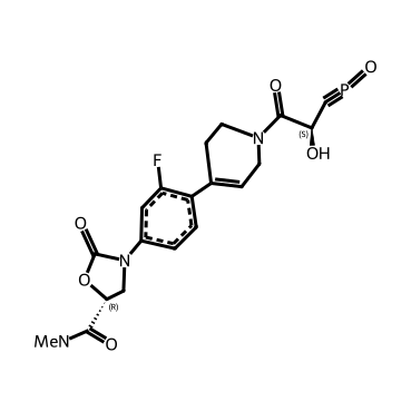 CNC(=O)[C@H]1CN(c2ccc(C3=CCN(C(=O)[C@H](O)C#P=O)CC3)c(F)c2)C(=O)O1